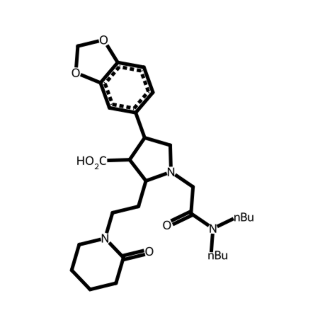 CCCCN(CCCC)C(=O)CN1CC(c2ccc3c(c2)OCO3)C(C(=O)O)C1CCN1CCCCC1=O